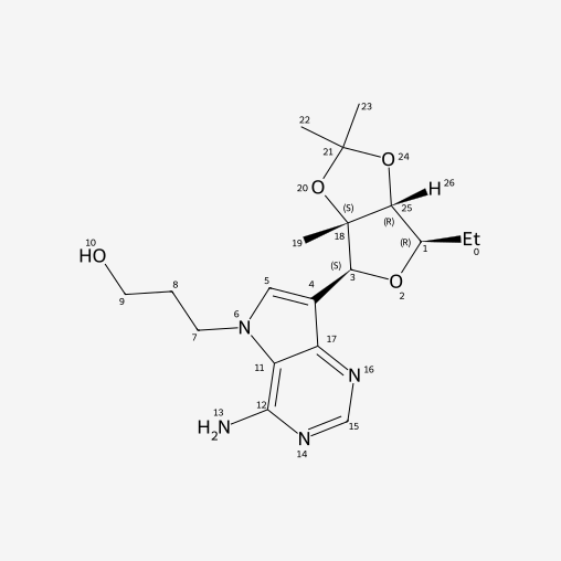 CC[C@H]1O[C@@H](c2cn(CCCO)c3c(N)ncnc23)[C@]2(C)OC(C)(C)O[C@H]12